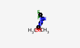 COc1ccc(N2CCN(c3cncc(-c4ccc(F)cc4F)n3)CC2)cc1OC